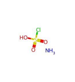 N.O=S(=O)(O)Cl